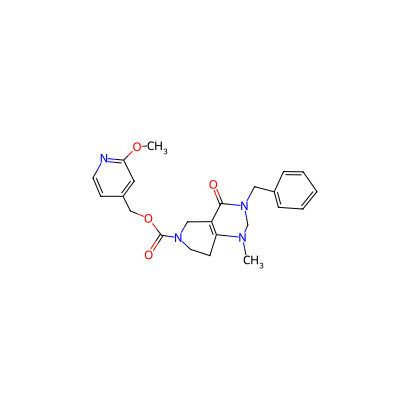 COc1cc(COC(=O)N2CCC3=C(C2)C(=O)N(Cc2ccccc2)CN3C)ccn1